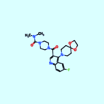 CN(C)C(=O)N1CCN(C(=O)c2cnc3ccc(F)cc3c2N2CCC3(CC2)OCCO3)CC1